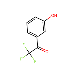 O=C(c1cccc(O)c1)C(F)(F)F